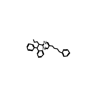 CCCC(c1ncc(CCCCc2ccccc2)cn1)C(c1ccccc1)c1ccccc1